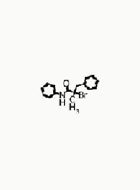 CC(Br)(Cc1ccccc1)C(=O)Nc1ccccc1